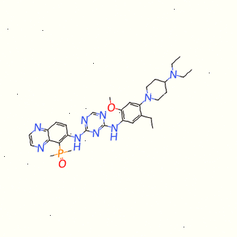 CCc1cc(Nc2ncnc(Nc3ccc4nccnc4c3P(C)(C)=O)n2)c(OC)cc1N1CCC(N(CC)CC)CC1